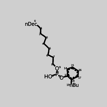 CCCCCCCCCCCCCCCCCCOP(O)Oc1ccccc1CCCC